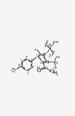 Cc1c(-c2ccc(Cl)cc2)c(C(=O)O)n(C(C)C)c1C(F)(F)F